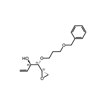 C=C[C@@H](O)[C@H](OCCCOCc1ccccc1)[C@@H]1CO1